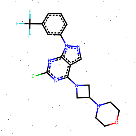 FC(F)(F)c1cccc(-n2ncc3c(N4CC(N5CCOCC5)C4)nc(Cl)nc32)c1